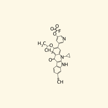 C#Cc1ccc2c(c1)[nH]c1c2c(=O)c2cc(OC(C)C)c(-c3cncc(OS(=O)(=O)F)c3)cc2n1C1CC1